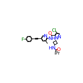 Cc1cc(C#Cc2ccc(F)cc2)cnc1NC(=O)c1c(Cl)cnn1[C@H]1C[C@H](NC(=O)C(C)C)C1